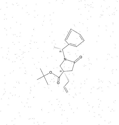 C=CC[C@@]1(C(=O)OC(C)(C)C)CC(=O)N([C@H](C)c2ccccc2)C1